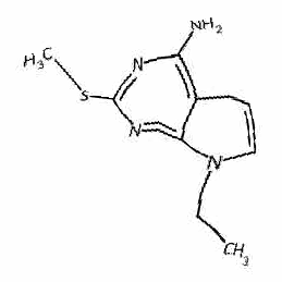 CCn1ccc2c(N)nc(SC)nc21